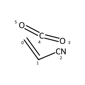 C=CC#N.O=C=O